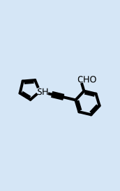 O=Cc1ccccc1C#C[SH]1C=CC=C1